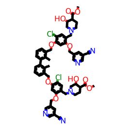 COC(=O)C1CCN(Cc2cc(Cl)c(OCc3cccc(-c4cccc(COc5cc(OCc6cncc(C#N)c6)c(CN6CCC(C(=O)OC)C(O)C6)cc5Cl)c4C)c3C)cc2OCc2cncc(C#N)c2)CC1O